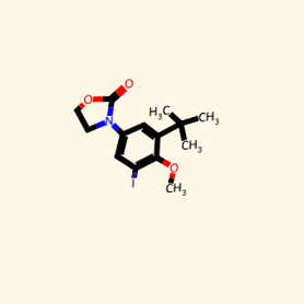 COc1c(I)cc(N2CCOC2=O)cc1C(C)(C)C